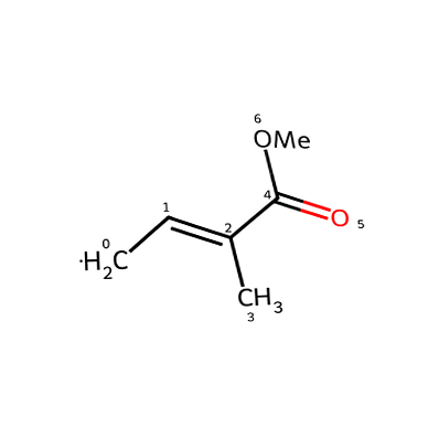 [CH2]C=C(C)C(=O)OC